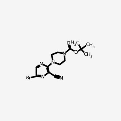 CC(C)(C)OC(=O)N1CCN(c2ncc(Br)nc2C#N)CC1